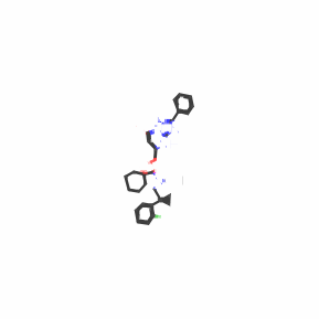 CN(CC1(c2ccccc2Cl)CC1)C(=O)C1(OCc2cc(=O)n3nc(-c4ccccc4)nc3[nH]2)CCCCC1